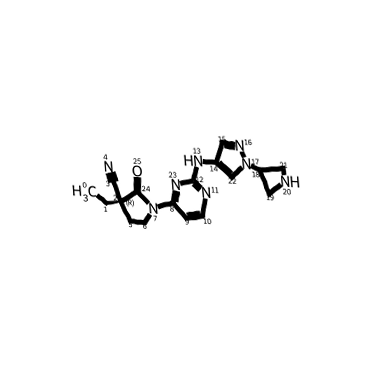 CC[C@]1(C#N)CCN(c2ccnc(Nc3cnn(C4CNC4)c3)n2)C1=O